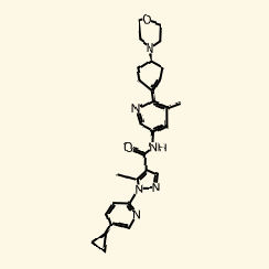 Cc1cc(NC(=O)c2cnn(-c3ccc(C4CC4)cn3)c2C)cnc1C1=CC[C@H](N2CCOCC2)CC1